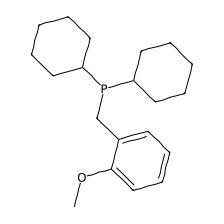 COc1ccccc1CP(C1CCCCC1)C1CCCCC1